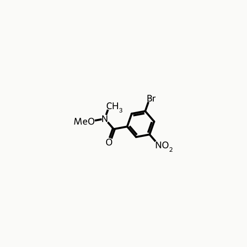 CON(C)C(=O)c1cc(Br)cc([N+](=O)[O-])c1